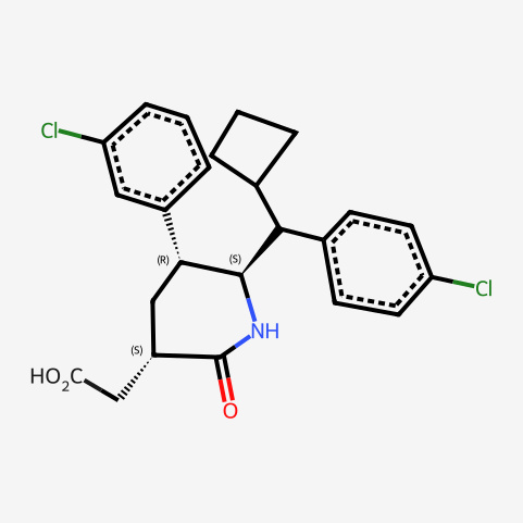 O=C(O)C[C@@H]1C[C@H](c2cccc(Cl)c2)[C@@H](C(c2ccc(Cl)cc2)C2CCC2)NC1=O